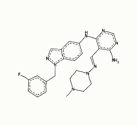 CN1CCN(N=Cc2c(N)ncnc2Nc2ccc3c(cnn3Cc3cccc(F)c3)c2)CC1